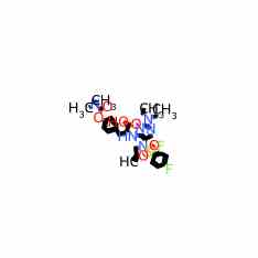 C#CCN(c1cnc(N(CC)CC)nc1NC(Cc1ccc(OC(=O)N(C)C)cc1)C(=O)O)S(=O)(=O)c1ccc(F)cc1F